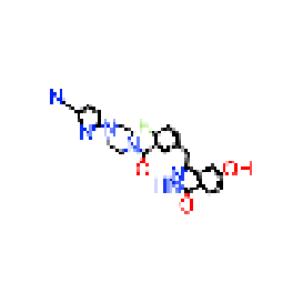 N#Cc1ccc(N2CCN(C(=O)c3cc(Cc4n[nH]c(=O)c5ccc(O)cc45)ccc3F)CC2)nc1